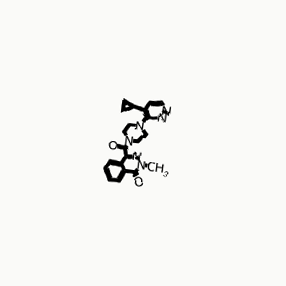 Cn1nc(C(=O)N2CCN(c3nnccc3C3CC3)CC2)c2ccccc2c1=O